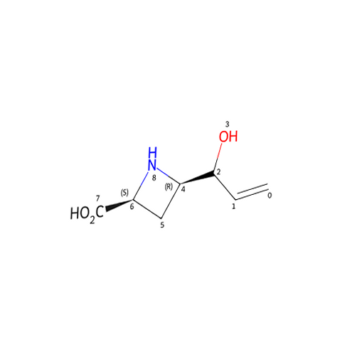 C=CC(O)[C@H]1C[C@@H](C(=O)O)N1